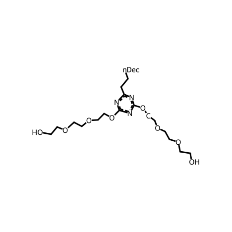 CCCCCCCCCCCCc1nc(OCCOCCOCCO)nc(OCCOCCOCCO)n1